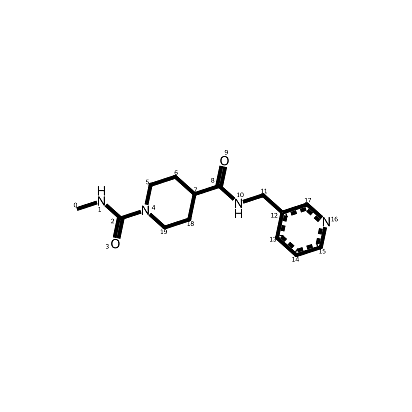 CNC(=O)N1CCC(C(=O)NCc2cccnc2)CC1